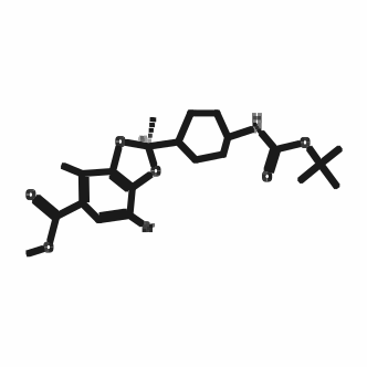 COC(=O)c1cc(Br)c2c(c1C)O[C@@](C)(C1CCC(NC(=O)OC(C)(C)C)CC1)O2